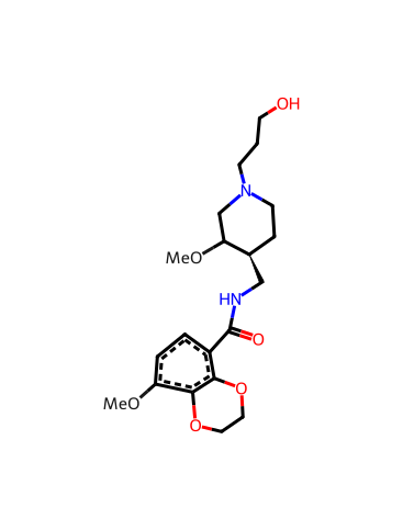 COc1ccc(C(=O)NC[C@@H]2CCN(CCCO)CC2OC)c2c1OCCO2